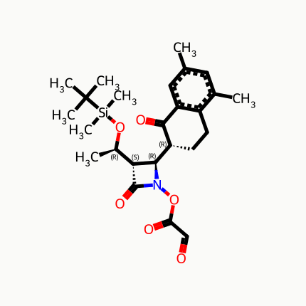 Cc1cc(C)c2c(c1)C(=O)[C@@H]([C@@H]1[C@@H]([C@@H](C)O[Si](C)(C)C(C)(C)C)C(=O)N1OC(=O)C=O)CC2